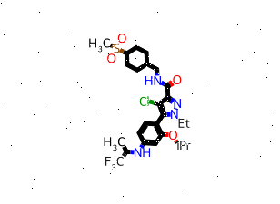 CCn1nc(C(=O)NCC2CCC(S(C)(=O)=O)CC2)c(Cl)c1-c1ccc(NC(C)C(F)(F)F)cc1OC(C)C